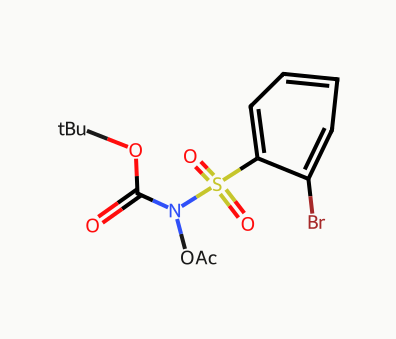 CC(=O)ON(C(=O)OC(C)(C)C)S(=O)(=O)c1ccccc1Br